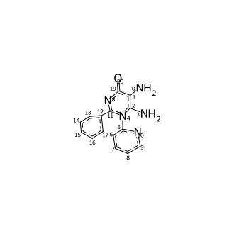 Nc1c(N)n(-c2ccccn2)c(-c2ccccc2)nc1=O